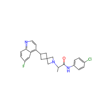 CC(C(=O)Nc1ccc(Cl)cc1)N1CC2(CC(c3ccnc4ccc(F)cc34)C2)C1